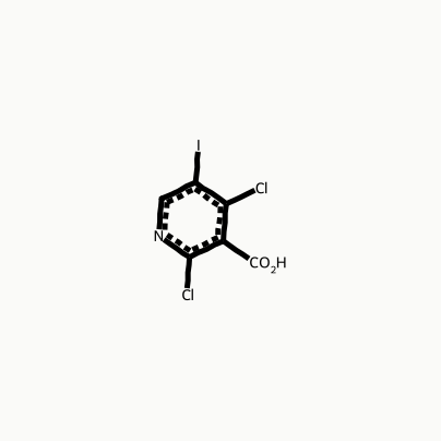 O=C(O)c1c(Cl)ncc(I)c1Cl